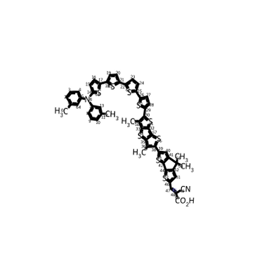 Cc1cccc(N(c2cccc(C)c2)c2ccc(-c3ccc(-c4ccc(-c5ccc(-c6sc7c(sc8c(C)c(-c9cc%10c(s9)-c9sc(/C=C(\C#N)C(=O)O)cc9C%10(C)C)sc87)c6C)s5)s4)s3)s2)c1